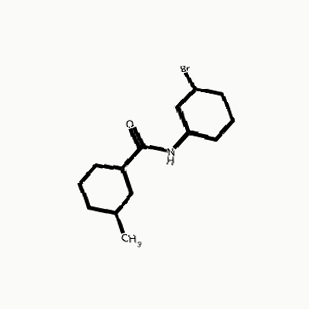 CC1CCCC(C(=O)NC2CCCC(Br)C2)C1